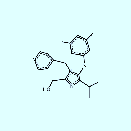 Cc1cc(C)cc(Sc2c(C(C)C)nc(CO)n2Cc2ccncc2)c1